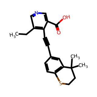 CCc1cncc(C(=O)O)c1C#Cc1ccc2c(c1)C(C)(C)CCS2